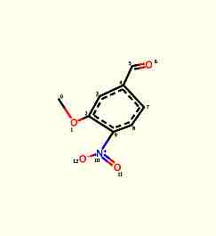 COc1[c]c(C=O)ccc1[N+](=O)[O-]